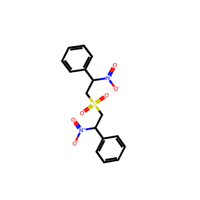 O=[N+]([O-])C(CS(=O)(=O)CC(c1ccccc1)[N+](=O)[O-])c1ccccc1